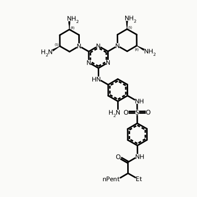 CCCCCC(CC)C(=O)Nc1ccc(S(=O)(=O)Nc2ccc(Nc3nc(N4C[C@H](N)C[C@H](N)C4)nc(N4C[C@H](N)C[C@H](N)C4)n3)cc2N)cc1